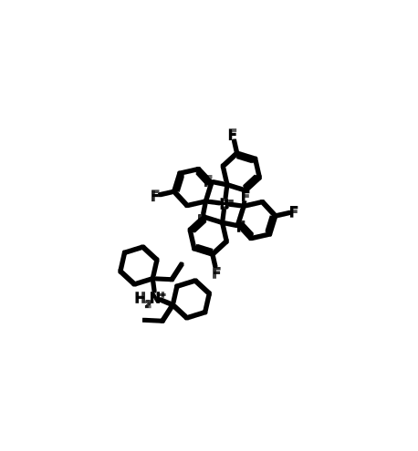 CCC1([NH2+]C2(CC)CCCCC2)CCCCC1.FC1=CC=CC(F)([B-](C2(F)C=CC=C(F)C2)(C2(F)C=CC=C(F)C2)C2(F)C=CC=C(F)C2)C1